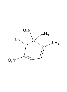 CC1=CC=C([N+](=O)[O-])C(Cl)C1(C)[N+](=O)[O-]